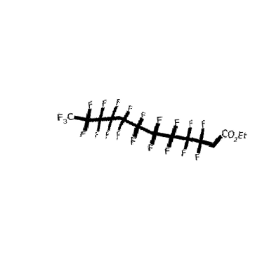 CCOC(=O)CC(F)(F)C(F)(F)C(F)(F)C(F)(F)C(F)(F)C(F)(F)C(F)(F)C(F)(F)C(F)(F)C(F)(F)F